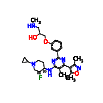 CNCC(O)COc1cccc(-c2nc(N[C@@H]3CCN(C4CC4)C[C@H]3F)c(C)c(-c3c(C)noc3C)n2)c1